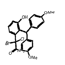 COc1ccc(C(c2ccc(OC)cc2)c2c(O)cccc2C(Cl)(Br)C(N)=O)cc1